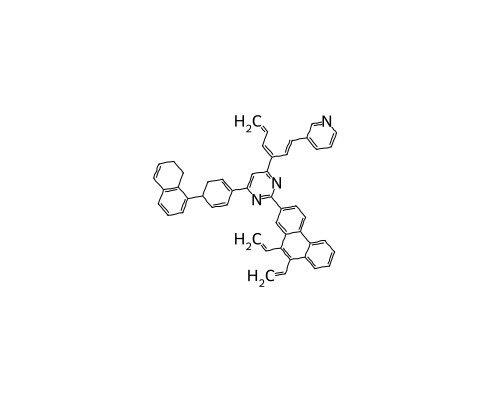 C=C/C=C(\C=C\c1cccnc1)c1cc(C2=CCC(c3cccc4c3CCC=C4)C=C2)nc(-c2ccc3c(c2)c(C=C)c(C=C)c2ccccc23)n1